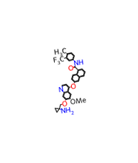 COc1cc2c(Oc3ccc4c(C(=O)Nc5ccc(C)c(C(F)(F)F)c5)cccc4c3)ccnc2cc1OCC1(N)CC1